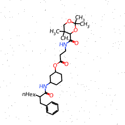 CCCCCCC(Cc1ccccc1)C(=O)NC1CCCC(OC(=O)CCNC(=O)C2OC(C)(C)OCC2(C)C)C1